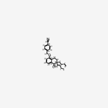 CCCCC1(CCCC)CCc2c(OCc3ccc(C#N)cc3)cccc2C1O